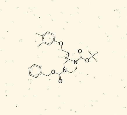 Cc1ccc(OCC[C@@H]2CN(C(=O)OCc3ccccc3)CCN2C(=O)OC(C)(C)C)cc1C